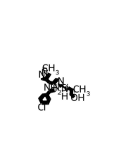 C[C@@H](CO)[SiH2]Nc1ncc2c(-c3cnn(C)c3)nc(-c3ccc(Cl)cc3)cn12